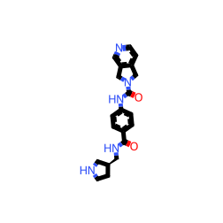 O=C(NC[C@H]1CCNC1)c1ccc(NC(=O)N2Cc3ccncc3C2)cc1